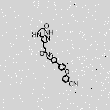 N#Cc1cccc(Oc2ccc(C3=CC4CN(C(=O)/C=C/c5cnc6c(c5)NCCC(=O)N6)CC4C3)cc2)c1